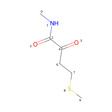 CNC(=O)C(=O)CCSC